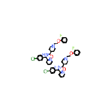 O=C(NC(c1ccc(Cl)cc1)c1ccccn1)C1CCN(CCOc2ccccc2F)CC1.O=C(NC(c1ccc(Cl)cc1)c1ccccn1)C1CCN(CCOc2ccccc2F)CC1